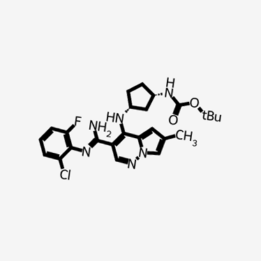 Cc1cc2c(N[C@@H]3CC[C@H](NC(=O)OC(C)(C)C)C3)c(/C(N)=N/c3c(F)cccc3Cl)cnn2c1